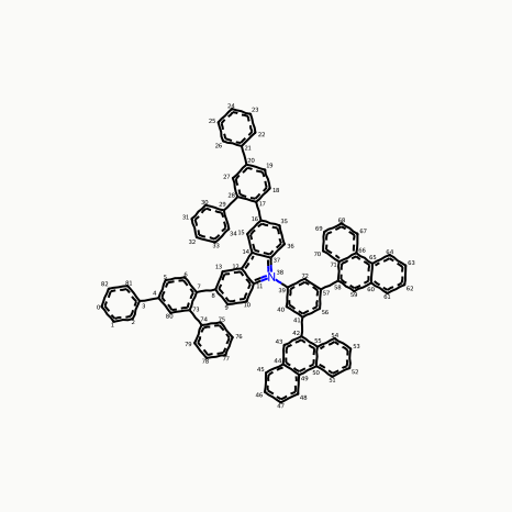 c1ccc(-c2ccc(-c3ccc4c(c3)c3cc(-c5ccc(-c6ccccc6)cc5-c5ccccc5)ccc3n4-c3cc(-c4cc5ccccc5c5ccccc45)cc(-c4cc5ccccc5c5ccccc45)c3)c(-c3ccccc3)c2)cc1